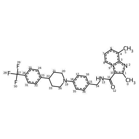 Cc1nc2c(C)cccn2c1C(=O)NCc1ccc(N2CCC(c3ccc(C(F)(F)F)cc3)CC2)cc1